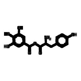 NC(Cc1ccc(O)cc1)C(=O)OC(=O)c1cc(O)c(O)c(O)c1